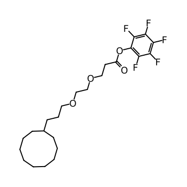 O=C(CCOCCOCCCC1CCCCCCCCC1)Oc1c(F)c(F)c(F)c(F)c1F